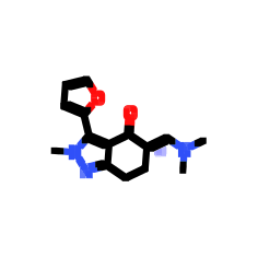 CN(C)/C=C1\CCc2nn(C)c(-c3ccco3)c2C1=O